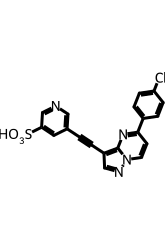 O=S(=O)(O)c1cncc(C#Cc2cnn3ccc(-c4ccc(Cl)cc4)nc23)c1